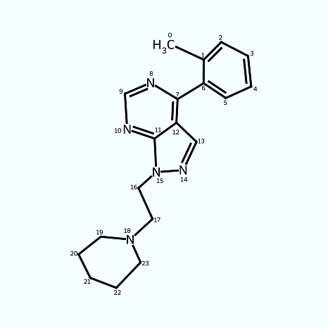 Cc1ccccc1-c1ncnc2c1cnn2CCN1CCCCC1